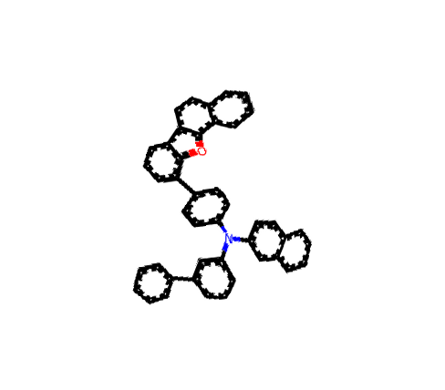 c1ccc(-c2cccc(N(c3ccc(-c4cccc5c4oc4c6ccccc6ccc54)cc3)c3ccc4ccccc4c3)c2)cc1